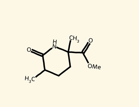 COC(=O)C1(C)CCC(C)C(=O)N1